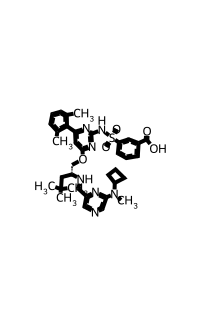 Cc1cccc(C)c1-c1cc(OC[C@@H](CC(C)(C)C)NCc2cncc(N(C)C3CCC3)n2)nc(NS(=O)(=O)c2cccc(C(=O)O)c2)n1